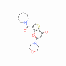 O=C(c1csc2c(=O)cc(N3CCOCC3)oc12)N1CCCCCC1